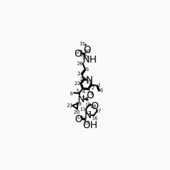 C=Cc1cc(C(C)N(C(=O)[C@H]2CN(C(=O)O)CCO2)C2CC2)cc(/C=C/CNC(=O)OC)n1